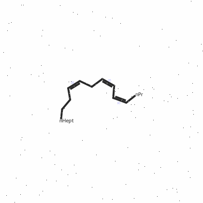 CCC/C=C\C=C/C/C=C\CCCCCCCCC